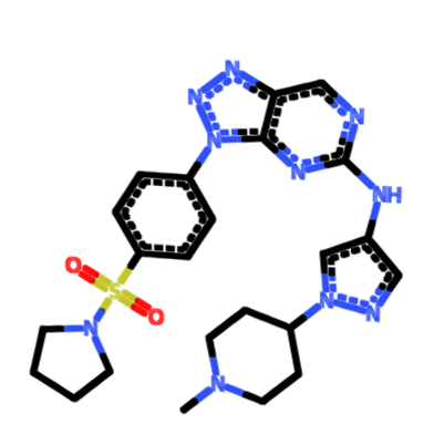 CN1CCC(n2cc(Nc3ncc4nnn(-c5ccc(S(=O)(=O)N6CCCC6)cc5)c4n3)cn2)CC1